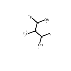 CC(O)C(C(O)F)C(F)(F)F